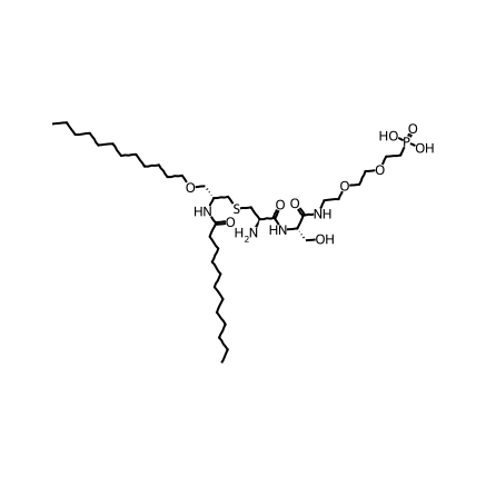 CCCCCCCCCCCCOC[C@H](CSC[C@H](N)C(=O)N[C@@H](CO)C(=O)NCCOCCOCCP(=O)(O)O)NC(=O)CCCCCCCCCCC